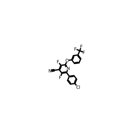 N#Cc1c(F)c(Oc2cccc(C(F)(F)F)c2)nc(-c2ccc(Cl)cc2)c1F